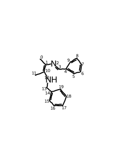 CC(N=Cc1ccccc1)=C(C)NCc1ccccc1